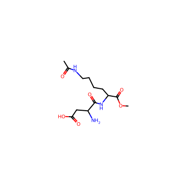 COC(=O)C(CCCCNC(C)=O)NC(=O)C(N)CC(=O)O